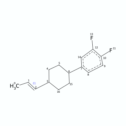 C/C=C/C1CCC(c2ccc(F)c(F)c2)CC1